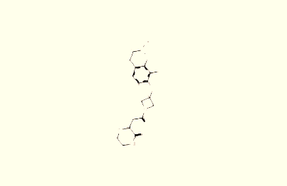 O=C(O)c1c(OC2CN(C(=O)CC3NCCNC3=O)C2)ccc2c1OB(O)CC2